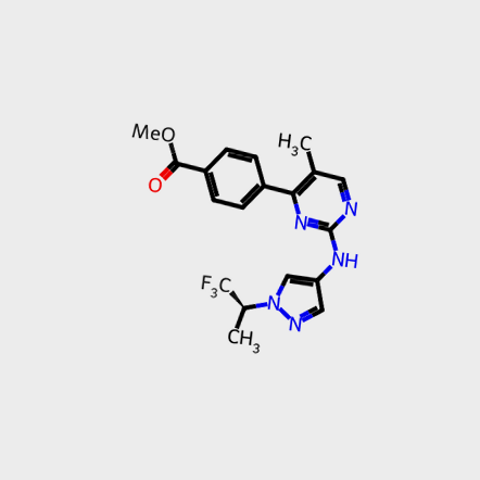 COC(=O)c1ccc(-c2nc(Nc3cnn([C@@H](C)C(F)(F)F)c3)ncc2C)cc1